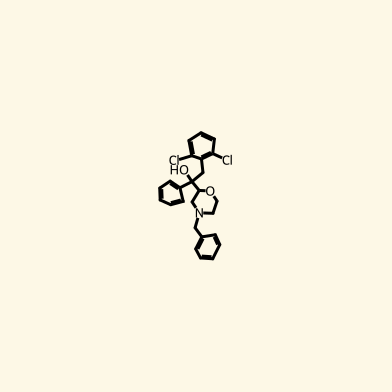 OC(Cc1c(Cl)cccc1Cl)(c1ccccc1)C1CN(Cc2ccccc2)CCO1